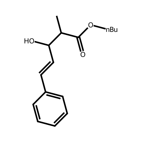 CCCCOC(=O)C(C)C(O)/C=C/c1ccccc1